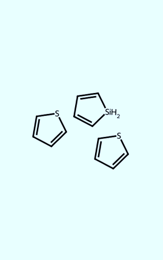 C1=C[SiH2]C=C1.c1ccsc1.c1ccsc1